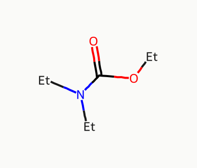 [CH2]COC(=O)N(CC)CC